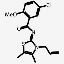 C=CCn1c(C)c(C)s/c1=N\C(=O)c1cc(Cl)ccc1OC